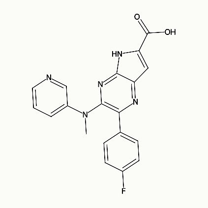 CN(c1cccnc1)c1nc2[nH]c(C(=O)O)cc2nc1-c1ccc(F)cc1